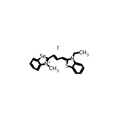 CCN1/C(=C/C=C/c2[se]c3ccccc3[n+]2C)Sc2ccccc21.[I-]